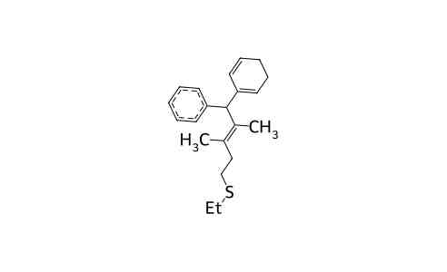 CCSCC/C(C)=C(\C)C(C1=CCCC=C1)c1ccccc1